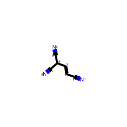 N#CC=CC(C#N)C#N